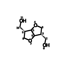 OC[C@H]1COC2C1OC[C@@H]2CO